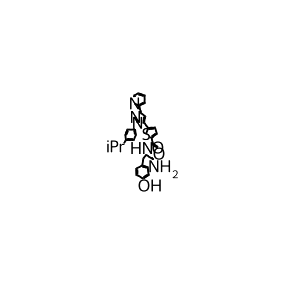 CC(C)c1ccc(-n2nc(-c3ccccn3)cc2-c2ccc(C(=O)NC(Cc3ccc(O)cc3)C(N)=O)s2)cc1